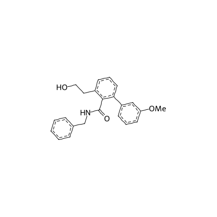 COc1cccc(-c2cccc(CCO)c2C(=O)NCc2ccccc2)c1